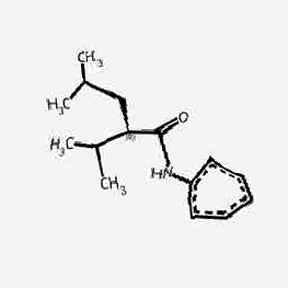 CC(C)C[C@@H](C(=O)Nc1ccccc1)C(C)C